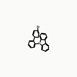 BrC1=CCC(c2ccccc2-n2c3ccccc3c3ccccc32)C=C1